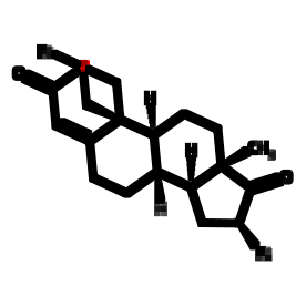 CCSC[C@]12CCC(=O)C=C1CC[C@@H]1[C@@H]2CC[C@]2(C)C(=O)[C@@H](CC)C[C@@H]12